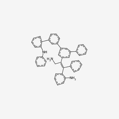 NC/C(=C(/c1ccccc1)c1ccccc1N)c1cc(-c2ccccc2)cc(-c2cccc(-c3ccccc3Nc3ccccc3)c2)c1